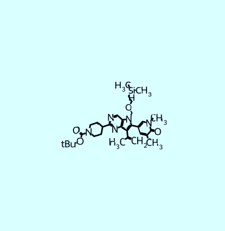 C=C(C)c1c(-c2cc(C)c(=O)n(C)c2)n(COCC[SiH](C)C)c2cnc(C3CCN(C(=O)OC(C)(C)C)CC3)nc12